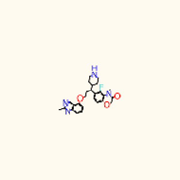 Cc1ncc2c(OCCC(c3ccc4c(c3F)N(C)C(=O)CO4)C3CCNCC3)cccc2n1